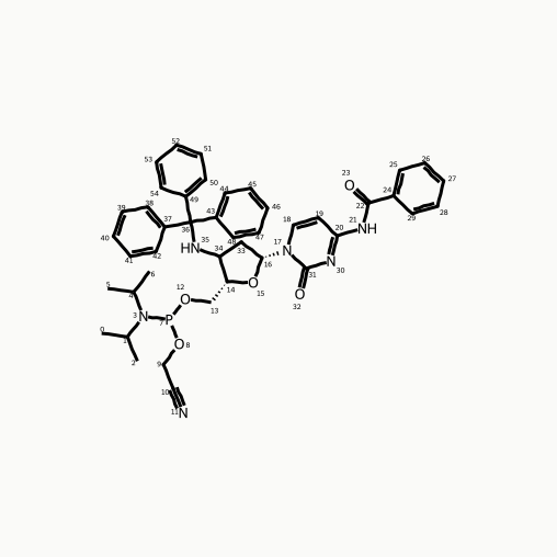 CC(C)N(C(C)C)P(OCC#N)OC[C@H]1O[C@@H](n2ccc(NC(=O)c3ccccc3)nc2=O)CC1NC(c1ccccc1)(c1ccccc1)c1ccccc1